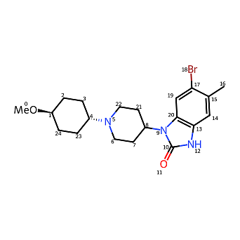 CO[C@H]1CC[C@H](N2CCC(n3c(=O)[nH]c4cc(C)c(Br)cc43)CC2)CC1